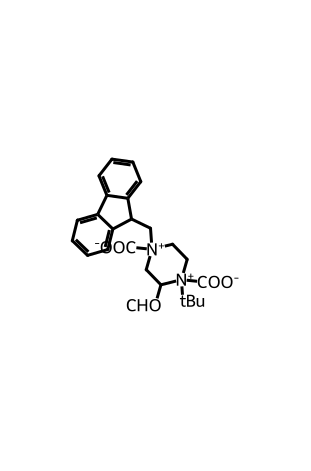 CC(C)(C)[N+]1(C(=O)[O-])CC[N+](CC2c3ccccc3-c3ccccc32)(C(=O)[O-])CC1C=O